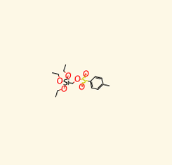 CCO[Si](COS(=O)(=O)c1ccc(C)cc1)(OCC)OCC